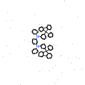 c1ccc(N(c2cccc(N(c3ccccc3)c3cccc(C4(c5ccccc5)c5ccccc5-c5ccccc54)c3)c2)c2cccc(C3(c4ccccc4)c4ccccc4-c4ccccc43)c2)cc1